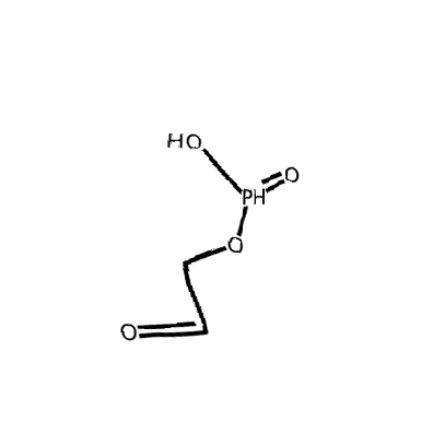 O=CCO[PH](=O)O